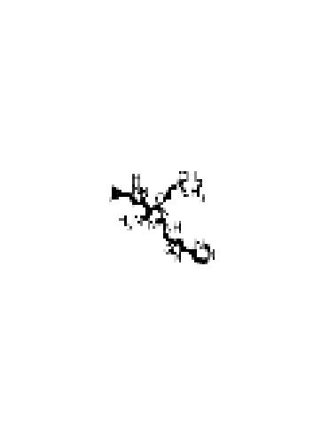 CN(C)CCOc1nc(NCc2cc(-c3ccncn3)no2)nc(N)c1-c1cc(C2CC2)[nH]n1